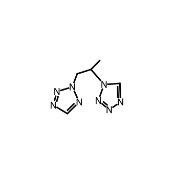 CC(Cn1ncnn1)n1cnnn1